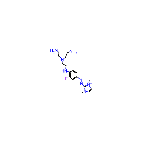 Cn1cc[n+](C)c1/N=N/c1ccc(NCCN(CCN)CCN)cc1.[I-]